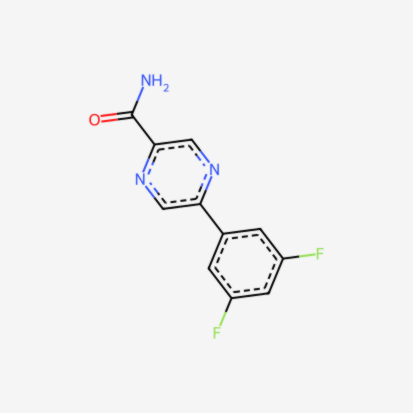 NC(=O)c1cnc(-c2cc(F)cc(F)c2)cn1